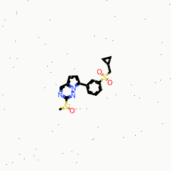 C[S+]([O-])c1ncc2ccc(-c3cccc(S(=O)(=O)CC4CC4)c3)n2n1